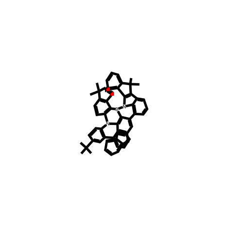 CC(C)(C)c1ccc(N2c3ccc4c(c3B3c5c(cc6oc7ccccc7c6c52)-c2cccc5c6c(n3c25)-c2ccccc2C6(C)C)-c2ccccc2C4(C)C)c(-c2ccccc2)c1